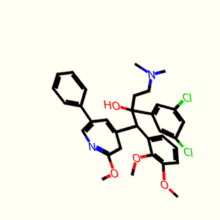 COC1=NC=C(c2ccccc2)C=C(C(c2cccc(OC)c2OC)C(O)(CCN(C)C)c2cc(Cl)cc(Cl)c2)C1